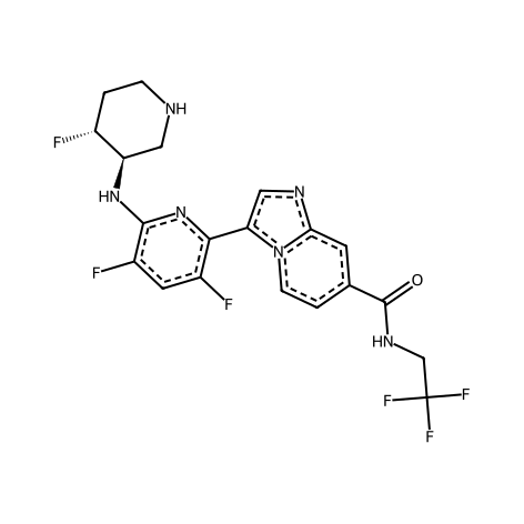 O=C(NCC(F)(F)F)c1ccn2c(-c3nc(N[C@@H]4CNCC[C@H]4F)c(F)cc3F)cnc2c1